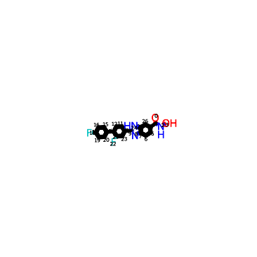 O=C(NO)c1ccc2nc(-c3ccc(-c4ccc(F)cc4)c(F)c3)[nH]c2c1